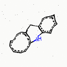 [CH]1c2ccccc2Nc2ccccc21